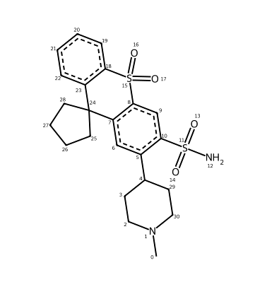 CN1CCC(c2cc3c(cc2S(N)(=O)=O)S(=O)(=O)c2ccccc2C32CCCC2)CC1